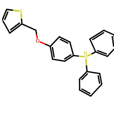 c1ccc([SH](c2ccccc2)c2ccc(OCc3cccs3)cc2)cc1